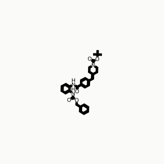 CC(C)(C)OC(=O)N1CCC(=Cc2ccc(C(=O)Nc3ccccc3NC(=O)OCc3ccccc3)cc2)CC1